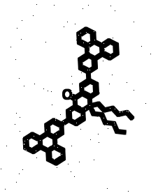 CCCCCCC1(CCCCCC)c2ccc(-c3ccc4c5ccccc5c5ccccc5c4c3)cc2C(=O)c2cc(-c3ccc4c5ccccc5c5ccccc5c4c3)ccc21